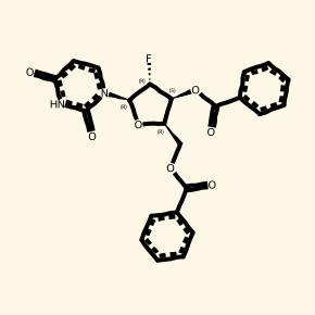 O=C(OC[C@H]1O[C@@H](n2ccc(=O)[nH]c2=O)[C@H](F)[C@H]1OC(=O)c1ccccc1)c1ccccc1